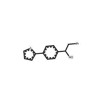 CC(C)CC(N=O)c1ccc(-c2cccs2)cc1